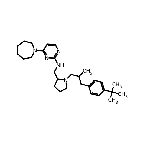 CC(Cc1ccc(C(C)(C)C)cc1)CN1CCCC1CNc1nccc(N2CCCCCC2)n1